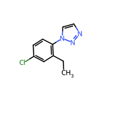 CCc1cc(Cl)ccc1-n1ccnn1